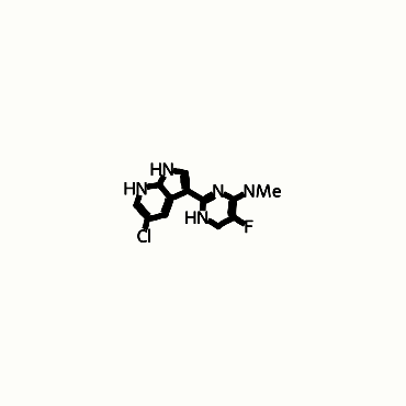 CNC1=C(F)CNC(C2=CNC3NC=C(Cl)C=C23)=N1